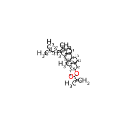 C=C(C)C(=O)OC1CC[C@@]2(C)C(=CCC3C2CC[C@@]2(C)C3CC[C@@H]2[C@H](C)CCCC(C)C)C1